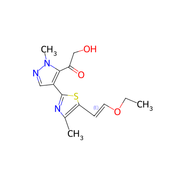 CCO/C=C/c1sc(-c2cnn(C)c2C(=O)CO)nc1C